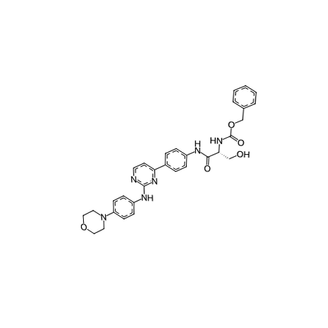 O=C(N[C@H](CO)C(=O)Nc1ccc(-c2ccnc(Nc3ccc(N4CCOCC4)cc3)n2)cc1)OCc1ccccc1